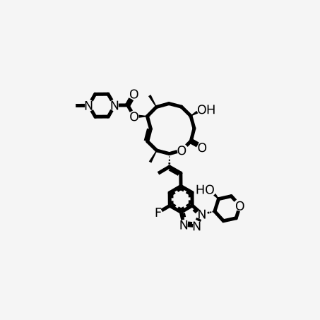 C/C(=C\c1cc(F)c2nnn([C@H]3CCOC[C@@H]3O)c2c1)[C@H]1OC(=O)C[C@H](O)CC[C@H](C)[C@H](OC(=O)N2CCN(C)CC2)/C=C/[C@@H]1C